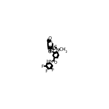 CN(C)c1ccc(C(=O)Nc2cc(F)c(F)c(F)c2)cc1S(=O)(=O)[C@H]1C2CCC1C1C3O[C@]31C2